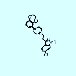 Clc1ccc2c(CCN3CCN(c4cccc5c4OCCO5)CC3)n[nH]c2c1